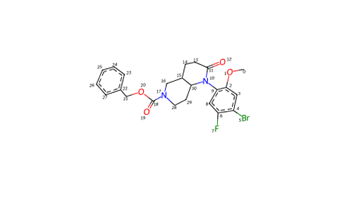 COc1cc(Br)c(F)cc1N1C(=O)CCC2CN(C(=O)OCc3ccccc3)CCC21